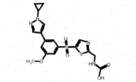 COc1cc(-c2cnn(C3CC3)c2)cc(S(=O)(=O)c2cnc(CNC(=O)O)s2)c1